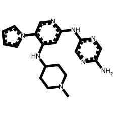 CN1CCC(Nc2cc(Nc3cnc(N)cn3)ncc2-n2cccc2)CC1